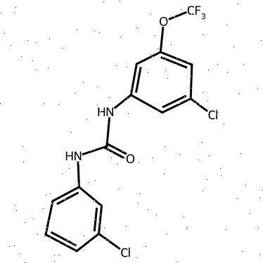 O=C(Nc1cccc(Cl)c1)Nc1cc(Cl)cc(OC(F)(F)F)c1